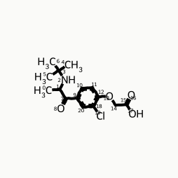 CC(NC(C)(C)C)C(=O)c1ccc(OCC(=O)O)c(Cl)c1